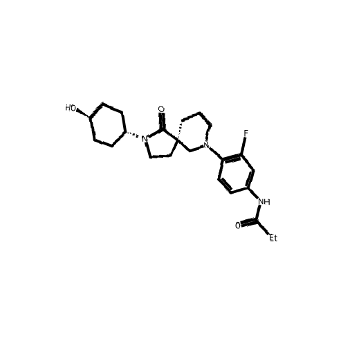 CCC(=O)Nc1ccc(N2CCC[C@@]3(CCN([C@H]4CC[C@H](O)CC4)C3=O)C2)c(F)c1